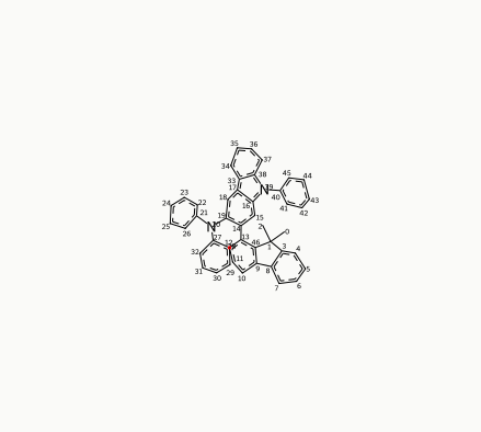 CC1(C)c2ccccc2-c2cccc(-c3cc4c(cc3N(c3ccccc3)c3ccccc3)c3ccccc3n4-c3ccccc3)c21